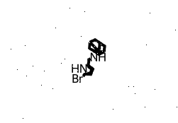 Brc1ccc(CNC23CC4CC(CC(C4)C2)C3)[nH]1